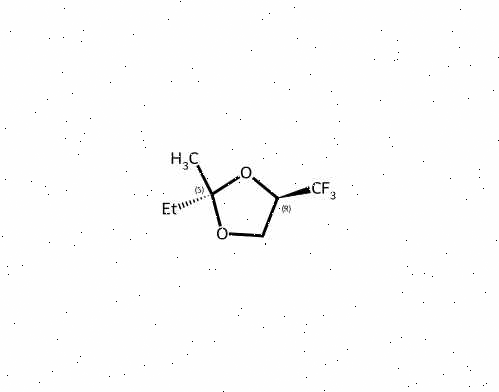 CC[C@@]1(C)OC[C@H](C(F)(F)F)O1